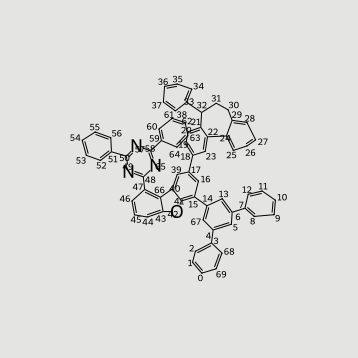 c1ccc(-c2cc(-c3ccccc3)cc(-c3cc(-c4ccc5c(c4)-c4ccccc4CCC5c4ccccc4)cc4c3oc3cccc(-c5nc(-c6ccccc6)nc(-c6ccccc6)n5)c34)c2)cc1